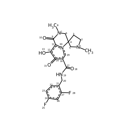 CN1CCC2(C1)CN(C)C(=O)c1c(O)c(=O)c(C(=O)NCc3ccc(F)cc3F)cn12